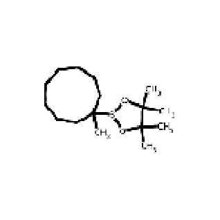 CC1(B2OC(C)(C)C(C)(C)O2)CCCCCCCC1